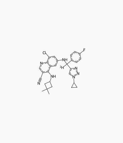 [2H]C(Nc1cc(Cl)c2ncc(C#N)c(NC3CC(C)(C)C3)c2c1)(c1ccc(F)cc1)c1cn(C2CC2)nn1